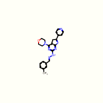 Cc1cccc(/C=N/Nc2nc3c(c(N4CCOCC4)n2)CC(c2ccncc2)=N3)c1